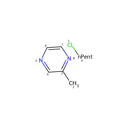 CCCCCCl.Cc1cnccn1